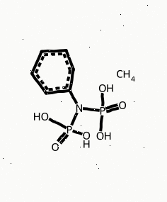 C.O=P(O)(O)N(c1ccccc1)P(=O)(O)O